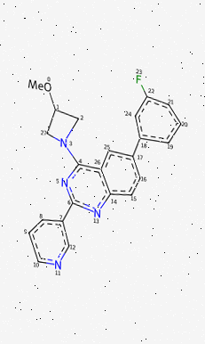 COC1CN(c2nc(-c3cccnc3)nc3ccc(-c4cccc(F)c4)cc23)C1